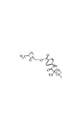 C=C(C)C(=O)OCCOC(=O)c1ccc(NC(=O)C(C)(C)CC)cc1